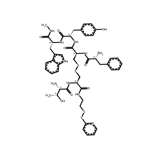 CNC(=O)[C@@H](Cc1c[nH]c2ccccc12)NC(=O)[C@H](Cc1ccc(O)cc1)NC(=O)[C@H](CSSC[C@H](NC(=O)[C@@H](N)[C@@H](C)O)C(=O)NCCSSc1ccccn1)NC(=O)[C@H](N)Cc1ccccc1